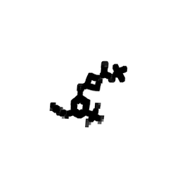 CC(C)(C)OC(=O)N1CC(Oc2cc(N=C=S)cc(C(F)(F)F)c2)C1